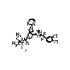 CC(C)(C)OC(=O)N1CC(c2nnc(C(F)(F)c3ccc(Cl)c(Cl)c3)o2)C2(C1)CN(c1ncccn1)C2